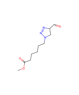 COC(=O)CCCCCN1CC(C=O)N=N1